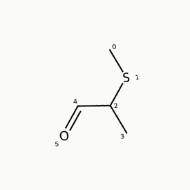 CSC(C)C=O